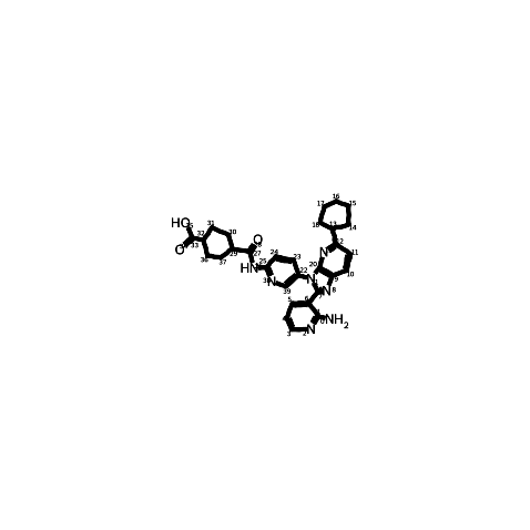 Nc1ncccc1-c1nc2ccc(C3CCCCC3)nc2n1-c1ccc(NC(=O)C2CCC(C(=O)O)CC2)nc1